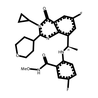 CONC(=O)c1cc(F)ccc1N[C@H](C)c1cc(F)cc2c(=O)n(C3CC3)c(C3CCOCC3)nc12